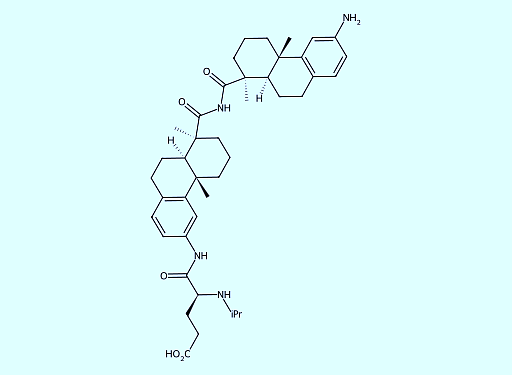 CC(C)N[C@@H](CCC(=O)O)C(=O)Nc1ccc2c(c1)[C@@]1(C)CCC[C@](C)(C(=O)NC(=O)[C@@]3(C)CCC[C@]4(C)c5cc(N)ccc5CC[C@@H]34)[C@@H]1CC2